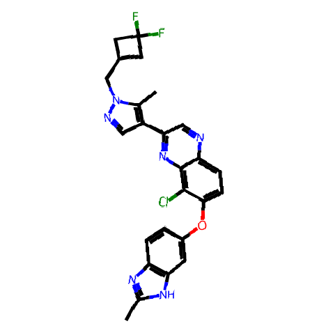 Cc1nc2ccc(Oc3ccc4ncc(-c5cnn(CC6CC(F)(F)C6)c5C)nc4c3Cl)cc2[nH]1